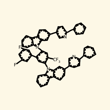 Fc1cc(F)cc(-c2cc(-n3c4ccccc4c4ccc(-c5ccc(-c6ccccc6)nc5)cc43)c(C(F)(F)F)cc2-n2c3ccccc3c3ccc(-c4ccc(-c5ccccc5)nc4)cc32)c1